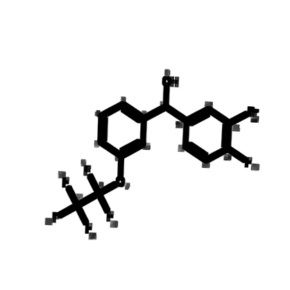 OC(c1cccc(OC(F)(F)C(F)(F)F)c1)c1ccc(F)c(Br)c1